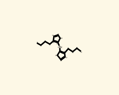 CCCCC1=[C]([Ru][C]2=C(CCCC)C=CC2)CC=C1